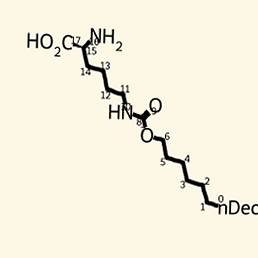 CCCCCCCCCCCCCCCCOC(=O)NCCCC[C@H](N)C(=O)O